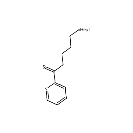 CCCCCCCCCCCC(=S)c1ccccn1